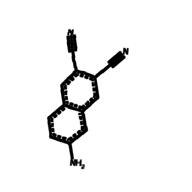 N#Cc1cc2ccc(N)cc2cc1C#N